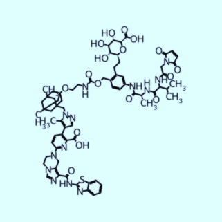 Cc1c(-c2ccc(N3CCn4cnc(C(=O)Nc5nc6ccccc6s5)c4C3)nc2C(=O)O)cnn1CC12CC3(C)CC(C)(C1)CC(OCCNC(=O)OCc1ccc(NC(=O)[C@H](C)NC(=O)C(NC(=O)CN4C(=O)C=CC4=O)C(C)C)cc1CC[C@@H]1O[C@H](C(=O)O)[C@@H](O)[C@H](O)[C@H]1O)(C3)C2